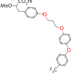 COC(Cc1ccc(OCCCOc2ccc(Oc3ccc(C(F)(F)F)cc3)cc2)cc1)C(=O)O